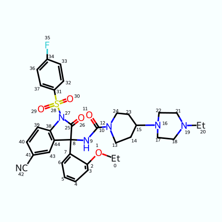 CCOc1ccccc1C1(NC(=O)N2CCC(N3CCN(CC)CC3)CC2)C(=O)N(S(=O)(=O)c2ccc(F)cc2)c2ccc(C#N)cc21